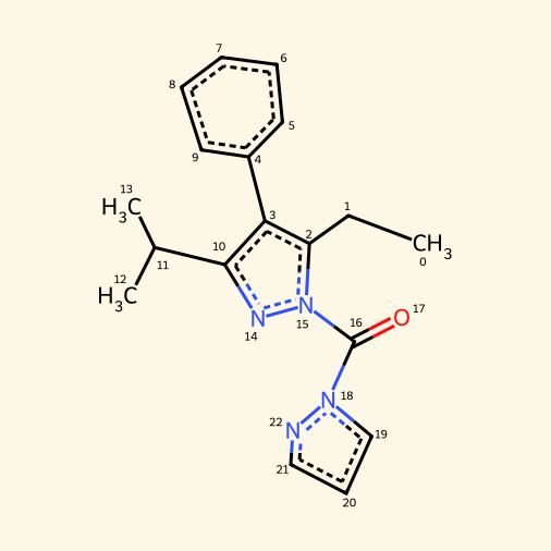 CCc1c(-c2ccccc2)c(C(C)C)nn1C(=O)n1cccn1